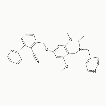 CCN(Cc1ccncc1)Cc1c(OC)cc(OCc2cccc(-c3ccccc3)c2C#N)cc1OC